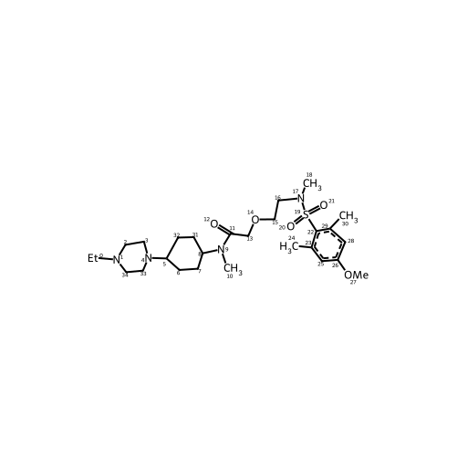 CCN1CCN(C2CCC(N(C)C(=O)COCCN(C)S(=O)(=O)c3c(C)cc(OC)cc3C)CC2)CC1